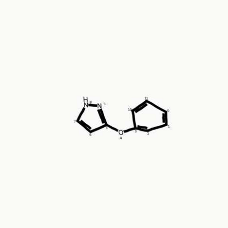 c1ccc(Oc2cc[nH]n2)cc1